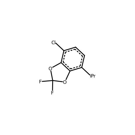 CC(C)c1ccc(Cl)c2c1OC(F)(F)O2